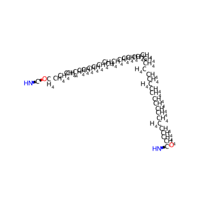 C.C.C.C.C.C.C.C.C.C.C.C.C.C.C.C.C.C.C.C.C.C.C.C.C.C.C.C.C.C.C.C.C.C.C.C.C.C.N=C=O.N=C=O